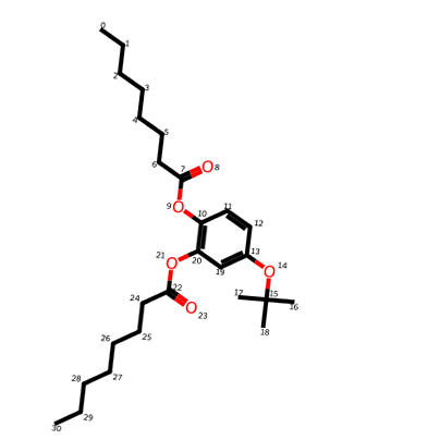 CCCCCCCC(=O)Oc1ccc(OC(C)(C)C)cc1OC(=O)CCCCCCC